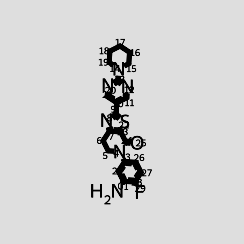 Nc1cc(N2CCc3nc(-c4cnc(N5CCCCC5)nc4)sc3C2=O)ccc1F